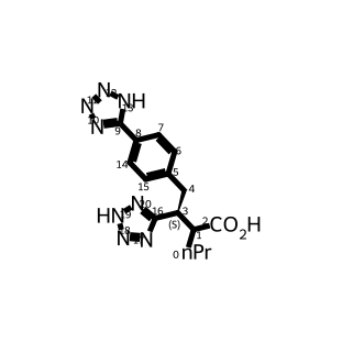 CCCC(C(=O)O)[C@H](Cc1ccc(-c2nnn[nH]2)cc1)c1nn[nH]n1